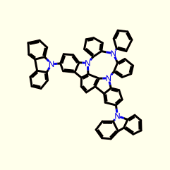 c1ccc(-n2c3ccccc3n3c4ccc(-n5c6ccccc6c6ccccc65)cc4c4ccc5c6cc(-n7c8ccccc8c8ccccc87)ccc6n(c6ccccc62)c5c43)cc1